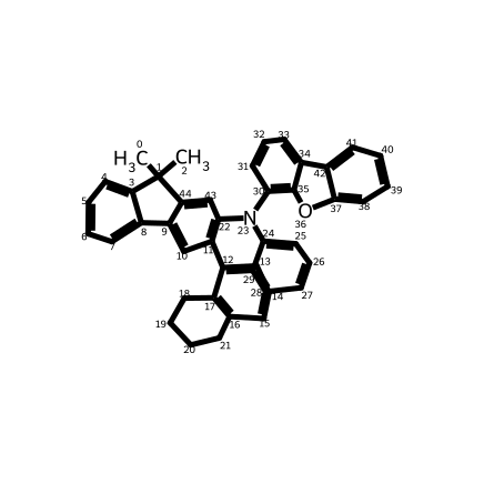 CC1(C)c2ccccc2-c2cc(-c3cccc4c3CCCC4)c(N(c3ccccc3)c3cccc4c3oc3ccccc34)cc21